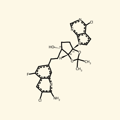 CC1(C)O[C@@H]2[C@@](O)(CCc3cc(F)c4cc(Cl)c(N)nc4c3)CC[C@]2(n2ccc3c(Cl)ncnc32)O1